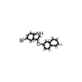 Brc1ccc2[nH]cc(Oc3ccc4ccccc4c3)c2c1